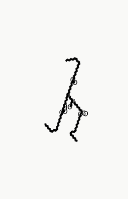 CCCCC/C=C\C/C=C\CCCCCCCCOC(=O)CCCCCCCN(CCCCCCCC(=O)OCCCCCCCC/C=C\C/C=C\CCCCC)CCCN(CCO)CCCCCCCC(=C=O)OCCCCCCCC/C=C\C/C=C\CCCCC